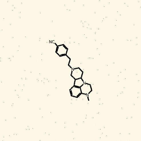 CN1CCN2c3c(cccc31)C1CN(CCc3ccc(C#N)cc3)CCC12